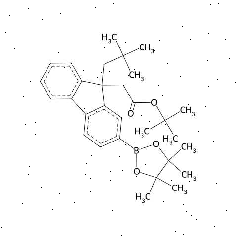 CC(C)(C)CC1(CC(=O)OC(C)(C)C)c2ccccc2-c2ccc(B3OC(C)(C)C(C)(C)O3)cc21